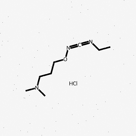 CCN=C=NOCCCN(C)C.Cl